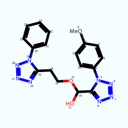 COc1ccc(-n2nnnc2C(O)OCCc2nnnn2-c2ccccc2)cc1